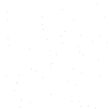 CCCCCCCCCCOCCC(C)(C)C